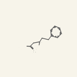 O=C(O)C1=NOC(CCc2ccccc2)C1